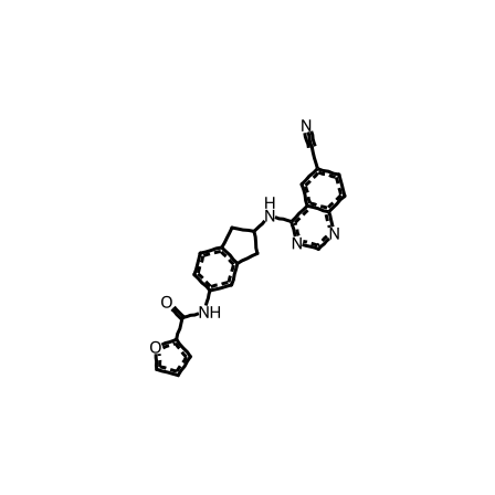 N#Cc1ccc2ncnc(NC3Cc4ccc(NC(=O)c5ccco5)cc4C3)c2c1